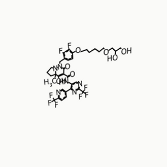 CC12CCCN1N(Cc1ccc(OCCCCCCOCC(O)CO)c(F)c1F)C(=O)C(C(=O)Nc1cnc(C(F)(F)F)nc1-c1ccc(C(F)(F)F)nc1)=C2O